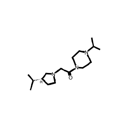 CC(C)[C@H]1CCN(CC(=O)N2CCN(C(C)C)CC2)C1